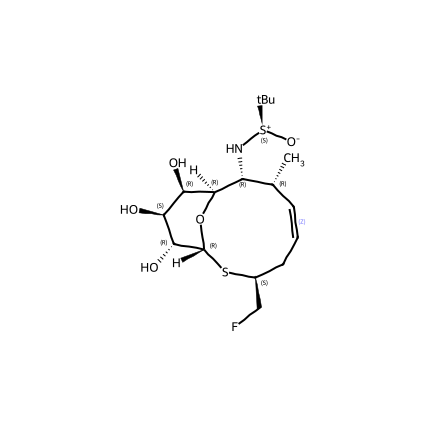 C[C@@H]1/C=C\C[C@@H](CF)S[C@H]2O[C@@H]([C@H](O)[C@H](O)[C@H]2O)[C@@H]1N[S@+]([O-])C(C)(C)C